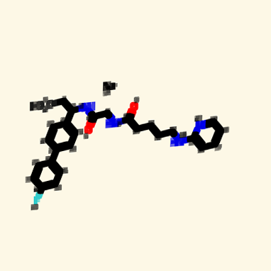 O=C(O)CC(NC(=O)CNC(=O)CCCCNc1ccccn1)c1ccc(-c2ccc(F)cc2)cc1.[Na]